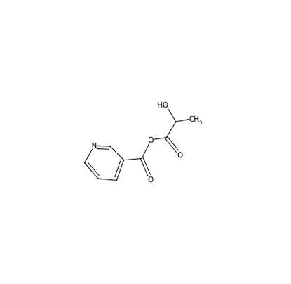 CC(O)C(=O)OC(=O)c1cccnc1